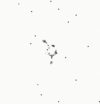 Clc1[c]cc(Cl)o1